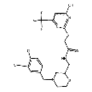 O=C(CSc1nc(O)cc(C(F)(F)F)n1)NCC1CN(Cc2ccc(Cl)c(Cl)c2)CCO1